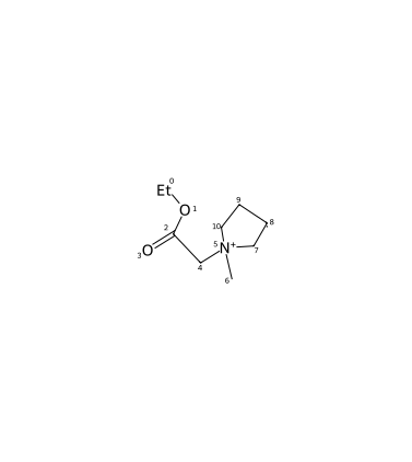 CCOC(=O)C[N+]1(C)C[CH]CC1